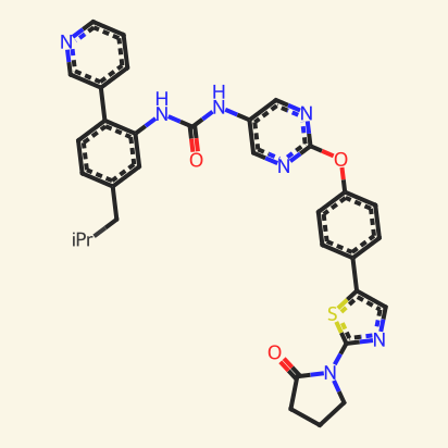 CC(C)Cc1ccc(-c2cccnc2)c(NC(=O)Nc2cnc(Oc3ccc(-c4cnc(N5CCCC5=O)s4)cc3)nc2)c1